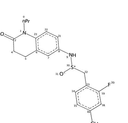 CCCN1C(=O)CCc2cc(N[S+]([O-])Cc3ccc(C)cc3F)ccc21